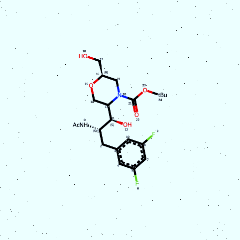 CC(=O)N[C@@H](Cc1cc(F)cc(F)c1)[C@H](O)C1CO[C@@H](CO)CN1C(=O)OC(C)(C)C